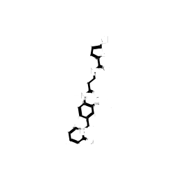 O=C(CCNC(=O)c1ccc(Cl)s1)Nc1ccc(Cn2ccccc2=O)cc1C(=O)O